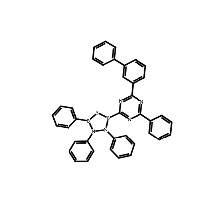 c1ccc(B2SB(c3nc(-c4ccccc4)nc(-c4cccc(-c5ccccc5)c4)n3)N(c3ccccc3)N2c2ccccc2)cc1